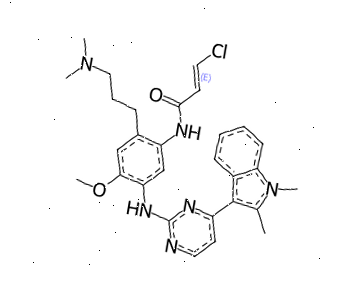 COc1cc(CCCN(C)C)c(NC(=O)/C=C/Cl)cc1Nc1nccc(-c2c(C)n(C)c3ccccc23)n1